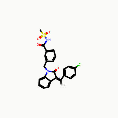 CC(C)(C)/C(=C1/C(=O)N(Cc2cccc(C(=O)NS(C)(=O)=O)c2)c2ccccc21)c1ccc(Cl)cc1